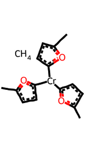 C.Cc1cc[c]([Cr]([c]2ccc(C)o2)[c]2ccc(C)o2)o1